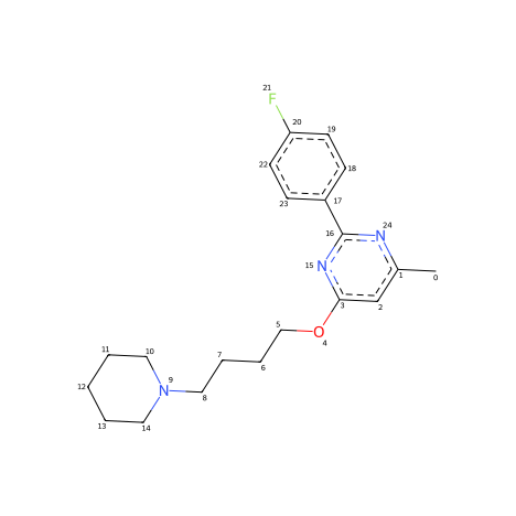 Cc1cc(OCCCCN2CCCCC2)nc(-c2ccc(F)cc2)n1